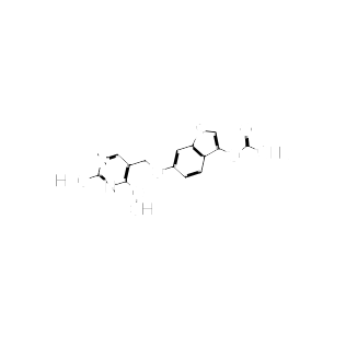 COc1nc(C)ncc1COc1ccc2c(OC(C)=O)csc2c1